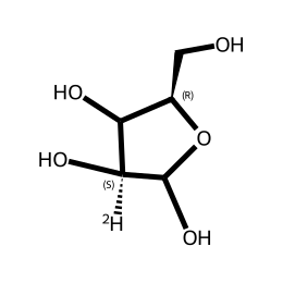 [2H][C@@]1(O)C(O)O[C@H](CO)C1O